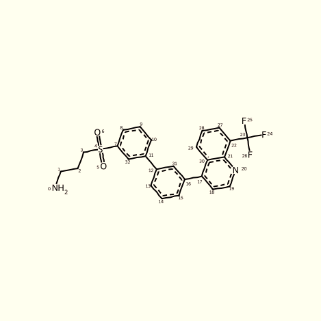 NCCCS(=O)(=O)c1cccc(-c2cccc(-c3ccnc4c(C(F)(F)F)cccc34)c2)c1